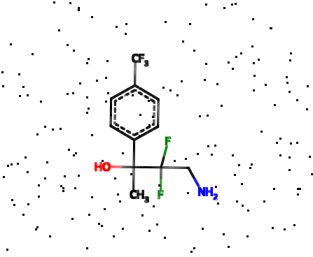 CC(O)(c1ccc(C(F)(F)F)cc1)C(F)(F)CN